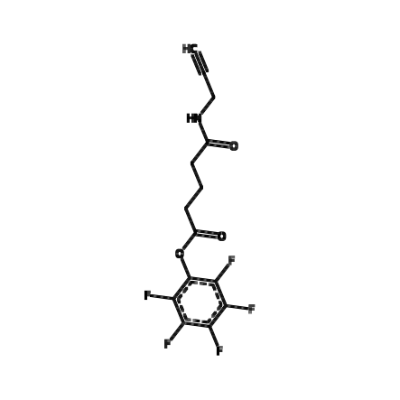 C#CCNC(=O)CCCC(=O)Oc1c(F)c(F)c(F)c(F)c1F